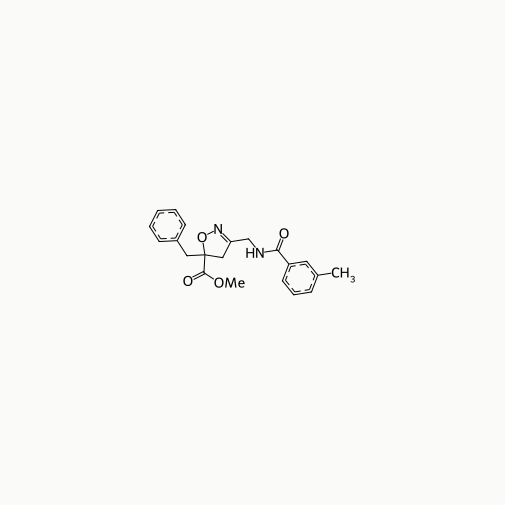 COC(=O)C1(Cc2ccccc2)CC(CNC(=O)c2cccc(C)c2)=NO1